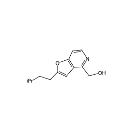 CC(C)CCc1cc2c(CO)nccc2o1